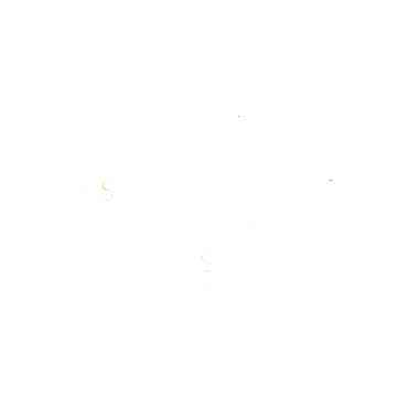 CC1SCCC(C)(C)S1